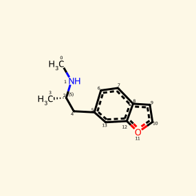 CN[C@@H](C)Cc1ccc2ccoc2c1